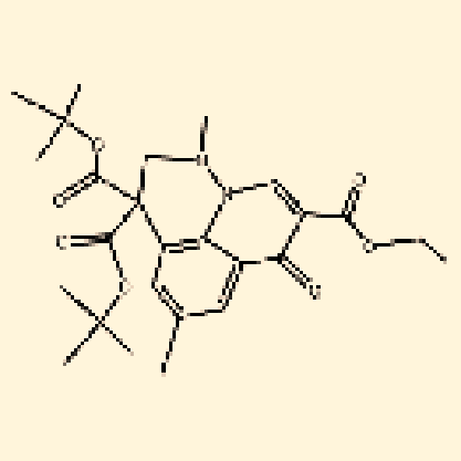 CCOC(=O)c1cn2c3c(cc(I)cc3c1=O)C(C(=O)OC(C)(C)C)(C(=O)OC(C)(C)C)CN2C